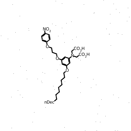 CCCCCCCCCCCCCCCCCCOc1cc(OCCCOc2ccc([N+](=O)[O-])cc2)cc(N(CC(=O)O)CC(=O)O)c1